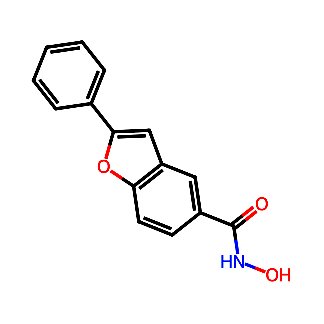 O=C(NO)c1ccc2oc(-c3ccccc3)cc2c1